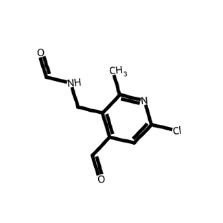 Cc1nc(Cl)cc(C=O)c1CNC=O